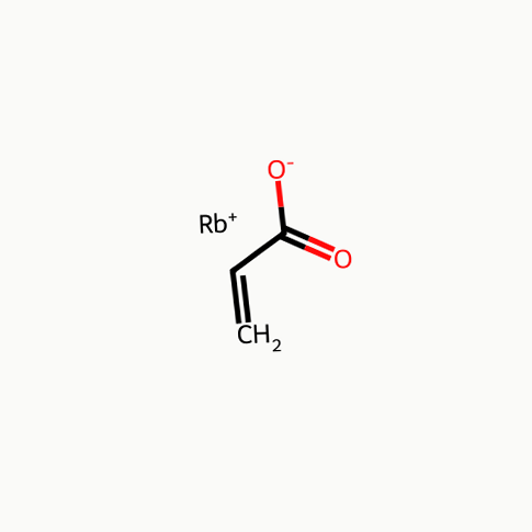 C=CC(=O)[O-].[Rb+]